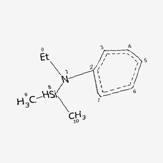 CCN(c1ccccc1)[SiH](C)C